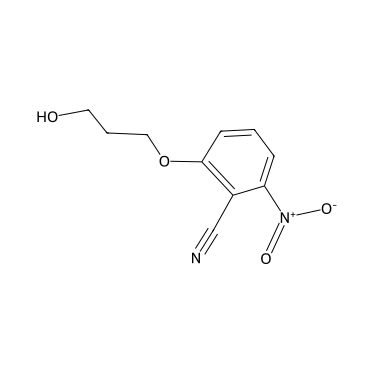 N#Cc1c(OCCCO)cccc1[N+](=O)[O-]